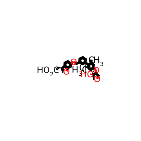 Cc1cc(OC2COC[C@H]2O)cc(C)c1-c1cccc(COc2ccc3c(c2)OC[C@H]3CC(=O)O)c1C